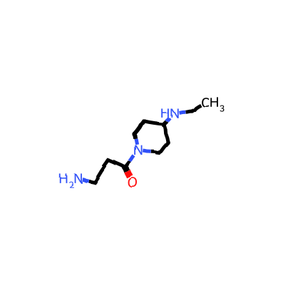 CCNC1CCN(C(=O)CCN)CC1